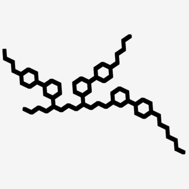 CCCCCCCC1CCC(C2CCCC(CCCC(CCCC(CCCC)C3CCCC(C4CCC(CCCC)CC4)C3)C3CCCC(C4CCC(CCCCC)CC4)C3)C2)CC1